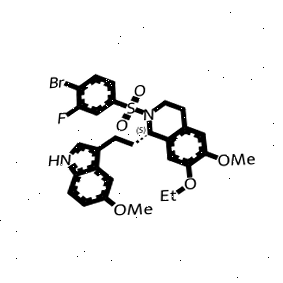 CCOc1cc2c(cc1OC)CCN(S(=O)(=O)c1ccc(Br)c(F)c1)[C@H]2CCc1c[nH]c2ccc(OC)cc12